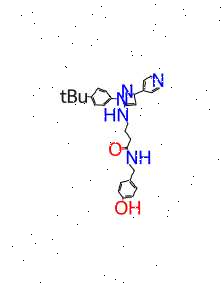 CC(C)(C)c1ccc(-n2nc(-c3ccncc3)cc2NCCCC(=O)NCCc2ccc(O)cc2)cc1